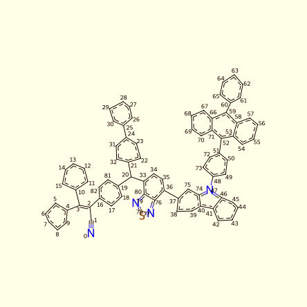 N#CC(=C(c1ccccc1)c1ccccc1)c1ccc(C(c2ccc(-c3ccccc3)cc2)c2ccc(-c3ccc4c5ccccc5n(-c5ccc(-c6c7ccccc7c(-c7ccccc7)c7ccccc67)cc5)c4c3)c3nsnc23)cc1